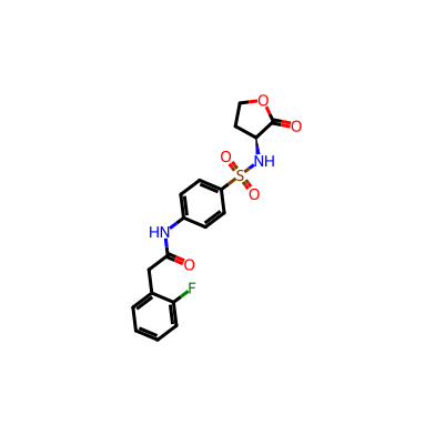 O=C(Cc1ccccc1F)Nc1ccc(S(=O)(=O)N[C@H]2CCOC2=O)cc1